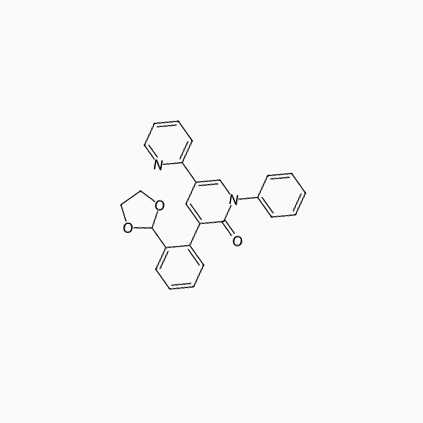 O=c1c(-c2ccccc2C2OCCO2)cc(-c2ccccn2)cn1-c1ccccc1